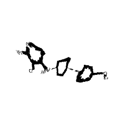 CCOc1ccc([C@H]2CC[C@@H](Nc3ccnc(C(C)C)c3Cl)CC2)cc1